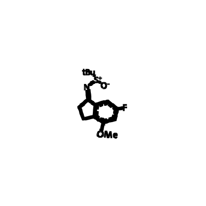 COc1cc(F)cc2c1CC/C2=N/[S@+]([O-])C(C)(C)C